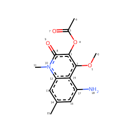 COc1c(OC(C)=O)c(=O)n(C)c2cc(C)cc(N)c12